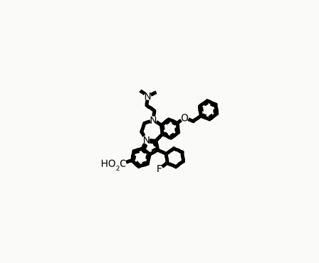 CN(C)CCN1CCn2c(c(C3CCCCC3F)c3ccc(C(=O)O)cc32)-c2ccc(OCc3ccccc3)cc21